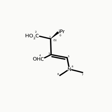 CC(C)[C@H](C(=O)O)C(C=O)=CN(C)C